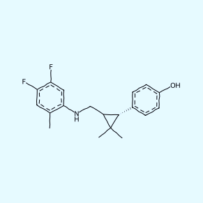 Cc1cc(F)c(F)cc1NCC1[C@H](c2ccc(O)cc2)C1(C)C